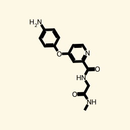 CNC(=O)CNC(=O)c1cc(Oc2ccc(N)cc2)ccn1